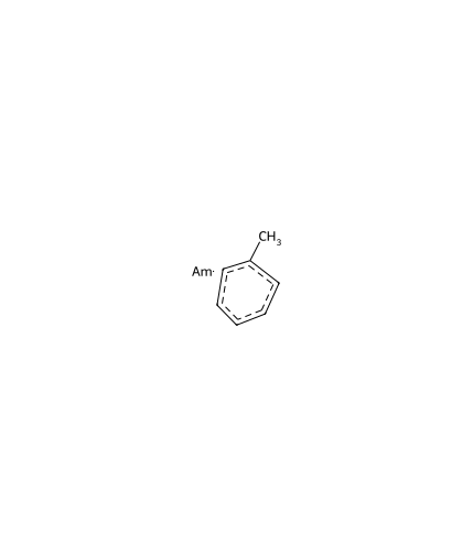 Cc1ccccc1.[Am]